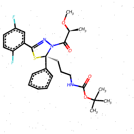 CO[C@@H](C)C(=O)N1N=C(c2cc(F)ccc2F)S[C@]1(CCCNC(=O)OC(C)(C)C)c1ccccc1